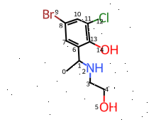 CC(NCCO)c1cc(Br)cc(Cl)c1O